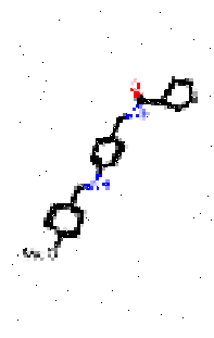 COc1ccc(CNc2ccc(CNC(=O)C3CCCC3)cc2)cc1